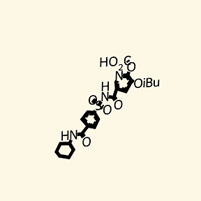 CC(C)COc1cc(C(=O)NS(=O)(=O)c2ccc(C(=O)NC3CCCCC3)cc2)cnc1OC(=O)O